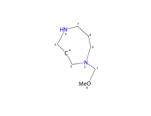 COCN1CCCNCCC1